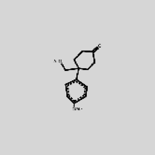 COc1ccc(C2(COC(C)=O)CCC(=O)CC2)cc1